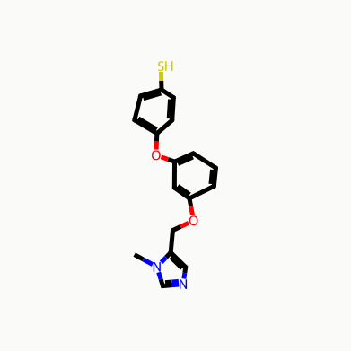 Cn1cncc1COc1cccc(Oc2ccc(S)cc2)c1